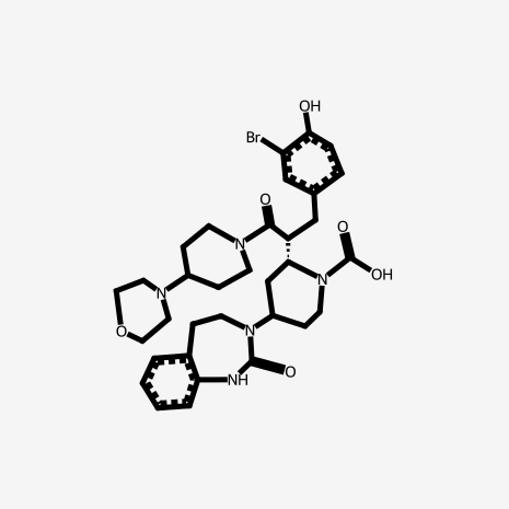 O=C(C(Cc1ccc(O)c(Br)c1)[C@H]1CC(N2CCc3ccccc3NC2=O)CCN1C(=O)O)N1CCC(N2CCOCC2)CC1